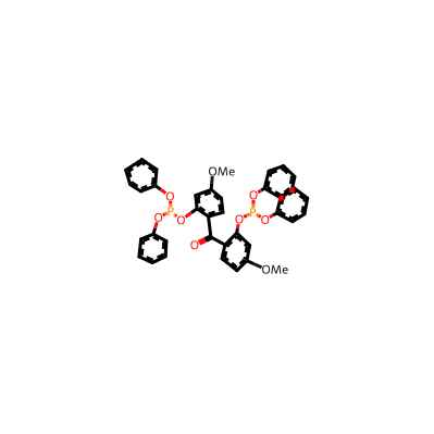 COc1ccc(C(=O)c2ccc(OC)cc2OP(Oc2ccccc2)Oc2ccccc2)c(OP(Oc2ccccc2)Oc2ccccc2)c1